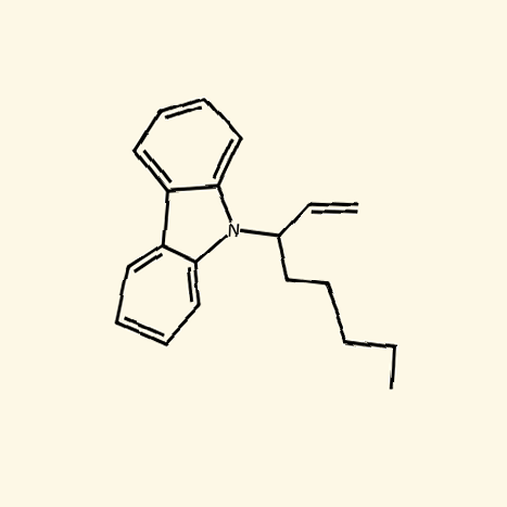 C=CC(CCCCC)n1c2ccccc2c2ccccc21